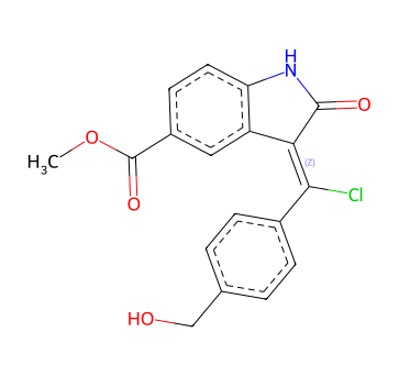 COC(=O)c1ccc2c(c1)/C(=C(/Cl)c1ccc(CO)cc1)C(=O)N2